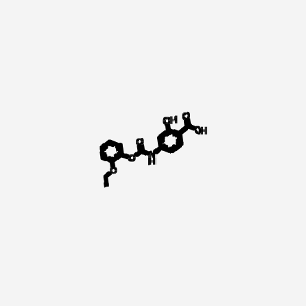 CCOc1ccccc1OC(=O)Nc1ccc(C(=O)O)c(O)c1